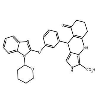 O=C1CCCC2=C1C(c1cccc(Oc3nc4ccccc4n3C3CCCCO3)c1)c1c[nH]c(C(=O)O)c1N2